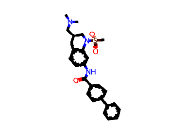 CN(C)CC1Cc2ccc(NC(=O)c3ccc(-c4ccccc4)cc3)cc2N(S(C)(=O)=O)C1